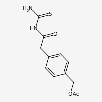 CC(=O)OCc1ccc(CC(=O)NC(N)=S)cc1